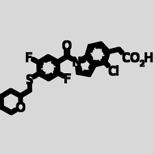 O=C(O)Cc1ccc2c(ccn2C(=O)c2cc(F)c(SCC3CCCCO3)cc2F)c1Cl